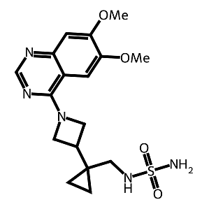 COc1cc2ncnc(N3CC(C4(CNS(N)(=O)=O)CC4)C3)c2cc1OC